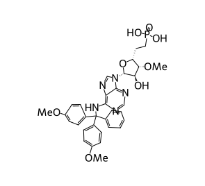 COc1ccc(C(Nc2ncnc3c2ncn3[C@@H]2O[C@H](CCP(=O)(O)O)[C@H](OC)[C@H]2O)(c2ccccc2)c2ccc(OC)cc2)cc1